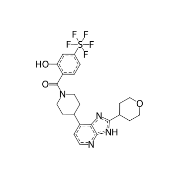 O=C(c1ccc(S(F)(F)(F)(F)F)cc1O)N1CCC(c2ccnc3[nH]c(C4CCOCC4)nc23)CC1